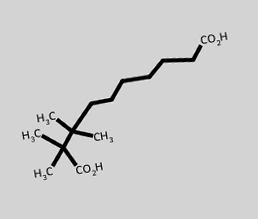 CC(C)(CCCCCCC(=O)O)C(C)(C)C(=O)O